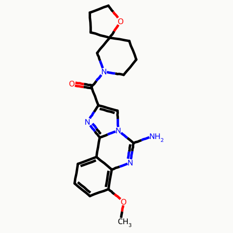 COc1cccc2c1nc(N)n1cc(C(=O)N3CCCC4(CCCO4)C3)nc21